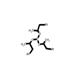 CC(C)CC(C)OP(OC(C)CC(C)C)OC(C)CC(C)C